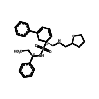 O=C(O)C[C@@H](NS(=O)(=O)[C@]1(CNCC2CCCO2)C=CC=C(c2ccccc2)C1)c1ccccc1